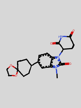 Cn1c(=O)n(C2CCC(=O)NC2=O)c2ccc(C3CCC4(CC3)OCCO4)cc21